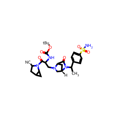 CC(c1ccc(S(N)(=O)=O)cc1)N1C(=O)C2C[C@H]1CN2CC(NC(=O)OC(C)(C)C)C(=O)N1C(C#N)CC2CC21